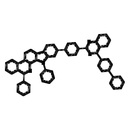 c1ccc(-c2ccc(-c3nc(-c4ccc(-c5ccc6c7ccc8c9ccccc9c(-c9ccccc9)nc8c7n(-c7ccccc7)c6c5)cc4)nc4ccccc34)cc2)cc1